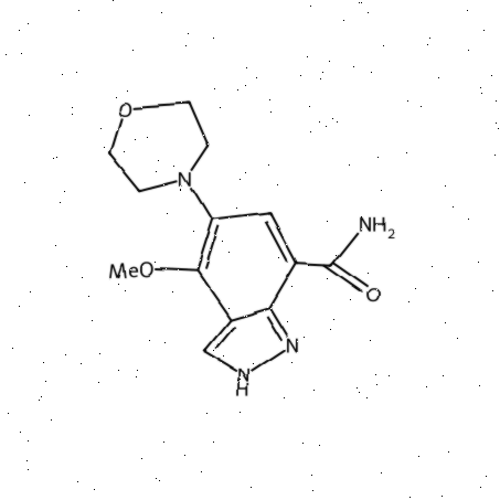 COc1c(N2CCOCC2)cc(C(N)=O)c2n[nH]cc12